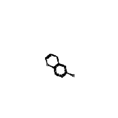 Clc1ccc2c(c1)CC=CO2